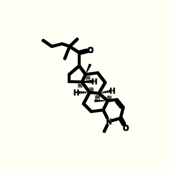 CCCC(C)(C)C(=O)C1CC[C@H]2[C@@H]3CCC4N(C)C(=O)C=C[C@]4(C)[C@@H]3CC[C@]12C